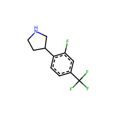 Fc1cc(C(F)(F)F)ccc1C1CCNC1